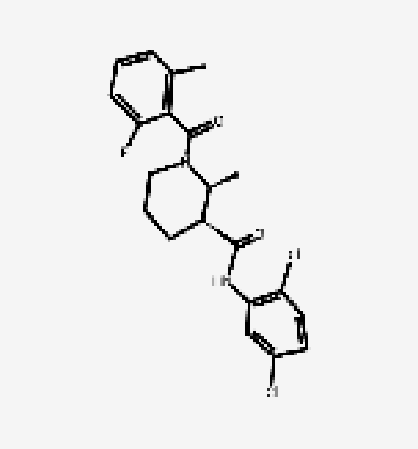 Cc1cccc(F)c1C(=O)N1CCC[C@H](C(=O)Nc2cc(Cl)ccc2Cl)[C@@H]1C